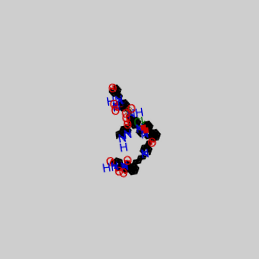 O=C1CCC(N2C(=O)c3cccc(CCCCN4CCC(COc5cccc(-c6ccc(Cl)cc6)c5CN5CCN(c6ccc(C(=O)NS(=O)(=O)c7ccc(NCC8CCOCC8)c([N+](=O)[O-])c7)c(Oc7cnc8[nH]ccc8c7)c6)CC5)CC4)c3C2=O)C(=O)N1